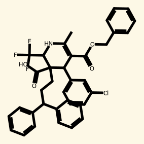 CC1=C(C(=O)OCc2ccccc2)C(c2cccc(Cl)c2)C(CCC(c2ccccc2)c2ccccc2)(C(=O)O)C(C(F)(F)F)N1